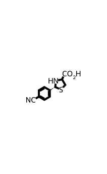 N#Cc1ccc([C@@H]2NC(C(=O)O)CS2)cc1